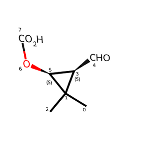 CC1(C)[C@H](C=O)[C@@H]1OC(=O)O